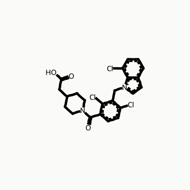 O=C(O)CC1CCN(C(=O)c2ccc(Cl)c(Cn3ccc4cccc(Cl)c43)c2Cl)CC1